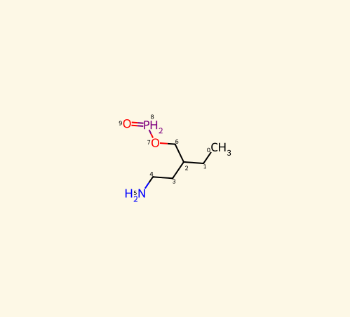 CCC(CCN)CO[PH2]=O